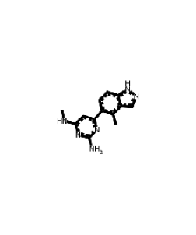 CNc1cc(-c2ccc3[nH]ncc3c2C)nc(N)n1